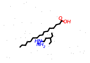 CCC(CC)CCNN.CCCCCCCCCCCCCCCC(=O)O